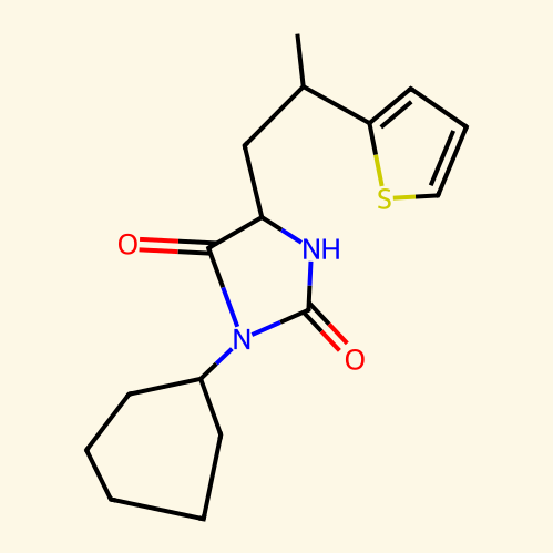 CC(CC1NC(=O)N(C2CCCCC2)C1=O)c1cccs1